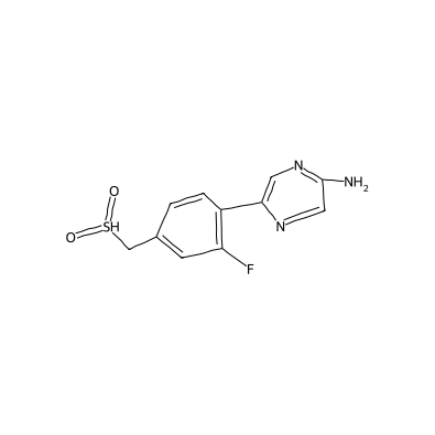 Nc1cnc(-c2ccc(C[SH](=O)=O)cc2F)cn1